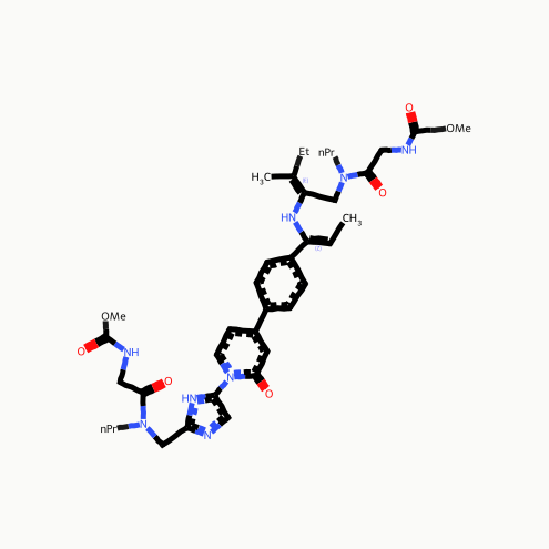 C/C=C(\N/C(CN(CCC)C(=O)CNC(=O)OC)=C(\C)CC)c1ccc(-c2ccn(-c3cnc(CN(CCC)C(=O)CNC(=O)OC)[nH]3)c(=O)c2)cc1